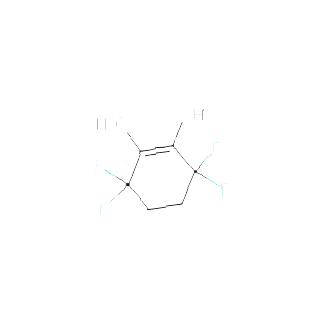 CC1=C(C)C(F)(F)CCC1(F)F